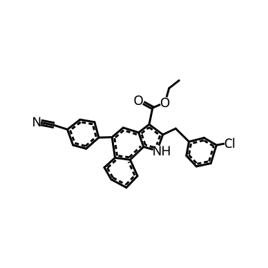 CCOC(=O)c1c(Cc2cccc(Cl)c2)[nH]c2c1cc(-c1ccc(C#N)cc1)c1ccccc12